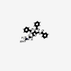 CS/C(N)=N/C(=O)NC1OC(COC(=O)c2ccccc2)C(OC(=O)c2ccccc2)C1OC(=O)c1ccccc1